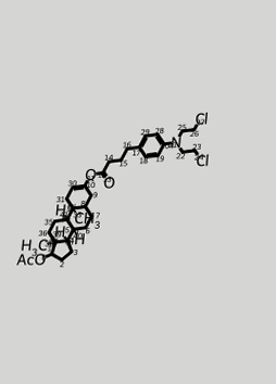 CC(=O)OC1CC[C@H]2[C@@H]3CCC4CC(OC(=O)CCCc5ccc(N(CCCl)CCCl)cc5)=CC[C@]4(C)[C@@H]3CC[C@]12C